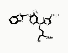 COC(CO)CCN(c1cc(C)c(Nc2nc3ccccc3s2)nn1)c1nc(C(=O)O)cs1